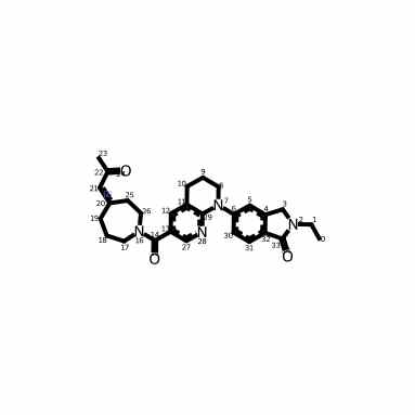 CCN1Cc2cc(N3CCCc4cc(C(=O)N5CCC/C(=C/C(C)=O)CC5)cnc43)ccc2C1=O